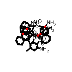 Cc1ccc(S(=O)(=O)Nc2c3c(C)cc(N)c2S(=O)(=O)C2(c4ccccc4)c4c(C)cc(N)c(c4N)S(=O)(=O)[C@@](N)(c4ccccc4)[C@](N)(c4ccccc4)C2(c2ccccc2)C(c2ccccc2)C3c2ccccc2)cc1